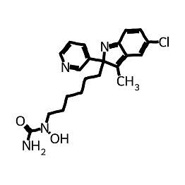 CC1=c2cc(Cl)ccc2=NC1(CCCCCCN(O)C(N)=O)c1cccnc1